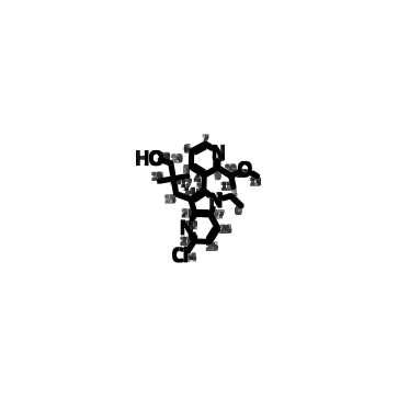 CCn1c(-c2cccnc2C(C)OC)c(CC(C)(C)CO)c2nc(Cl)ccc21